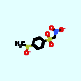 C[S+]([O-])c1ccc(S(=O)(=O)C[N+](=O)[O-])cc1